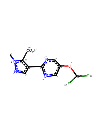 Cn1ncc(-c2ncc(OC(F)F)cn2)c1C(=O)O